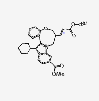 COC(=O)c1ccc2c(C3CCCCC3)c3n(c2c1)CC(/C=C/C(=O)OC(C)(C)C)COc1ccccc1-3